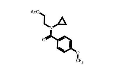 CC(=O)OCCN(C(=O)c1ccc(OC(F)(F)F)cc1)C1CC1